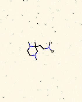 CCN(CC)CCC1(C)CN(C)CCN1C